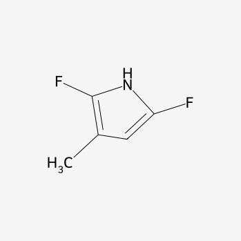 Cc1cc(F)[nH]c1F